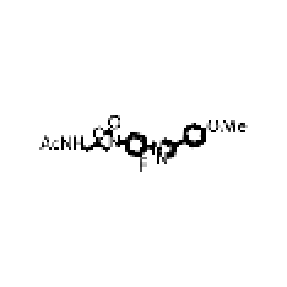 COc1ccc(-c2cnn(-c3ccc(N4CC(CNC(C)=O)OC4=O)cc3F)c2)cc1